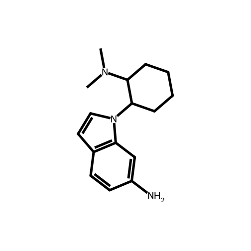 CN(C)C1CCCCC1n1ccc2ccc(N)cc21